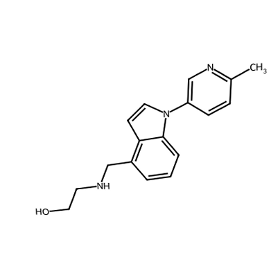 Cc1ccc(-n2ccc3c(CNCCO)cccc32)cn1